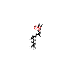 CC(=O)C(=O)OCC=C(C)CCC=C(C)CCC=C(C)C